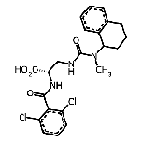 CN(C(=O)NC[C@H](NC(=O)c1c(Cl)cccc1Cl)C(=O)O)C1CCCc2ccccc21